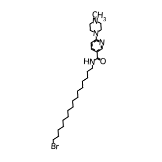 CN1CCN(c2ccc(C(=O)NCCCCCCCCCCCCCCCCBr)cn2)CC1